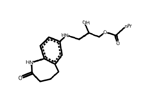 CCCC(=O)OCC(O)CNc1ccc2c(c1)CCCC(=O)N2